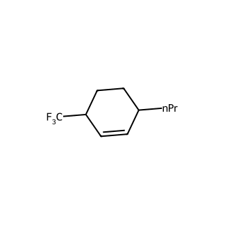 CCCC1C=CC(C(F)(F)F)CC1